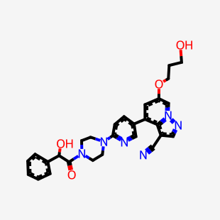 N#Cc1cnn2cc(OCCCO)cc(-c3ccc(N4CCN(C(=O)C(O)c5ccccc5)CC4)nc3)c12